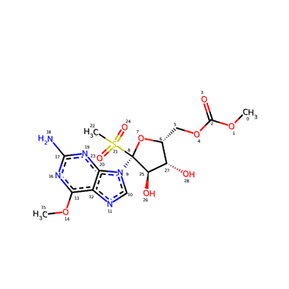 COC(=O)OC[C@H]1O[C@](n2cnc3c(OC)nc(N)nc32)(S(C)(=O)=O)[C@H](O)[C@H]1O